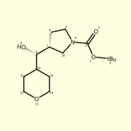 CC(C)(C)OC(=O)N1CC[C@@H]([C@@H](O)C2CCOCC2)C1